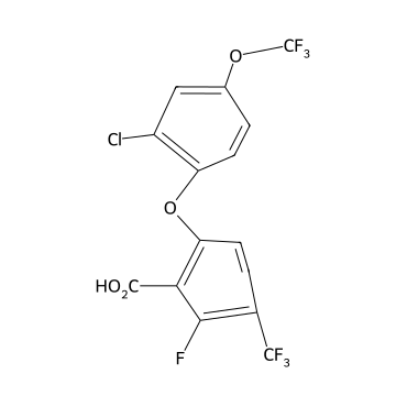 O=C(O)c1c(Oc2ccc(OC(F)(F)F)cc2Cl)ccc(C(F)(F)F)c1F